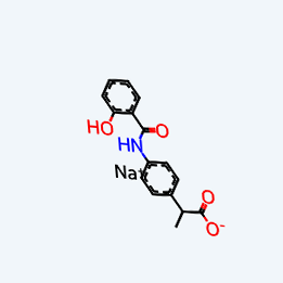 CC(C(=O)[O-])c1ccc(NC(=O)c2ccccc2O)cc1.[Na+]